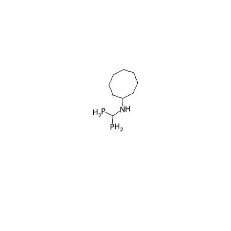 PC(P)NC1CCCCCCC1